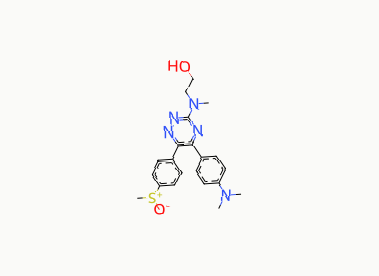 CN(C)c1ccc(-c2nc(N(C)CCO)nnc2-c2ccc([S+](C)[O-])cc2)cc1